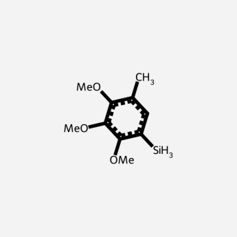 COc1c(C)cc([SiH3])c(OC)c1OC